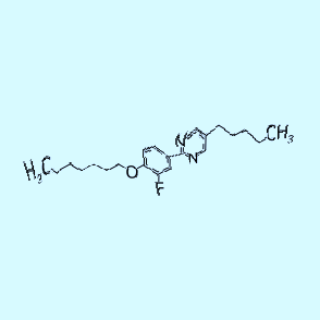 CCCCCCCOc1ccc(-c2ncc(CCCCC)cn2)cc1F